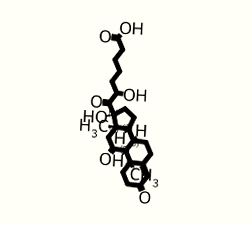 C[C@]12CCC(=O)C=C1CC[C@@H]1[C@@H]2C(=O)C[C@@]2(C)[C@H]1CC[C@]2(O)C(=O)C(O)CCCCC(=O)O